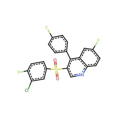 O=S(=O)(c1ccc(F)c(Cl)c1)c1cnc2ccc(F)cc2c1-c1ccc(F)cc1